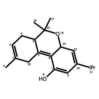 CC1=CCC2C(=C3C(O)=CC(C(C)C)=CC3OC2(C)C)C1